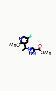 COC(=O)c1cn(C(C)c2cc(F)cnc2OC)nn1